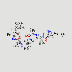 CCC[C@H](NC(=O)[C@@H](NC(=O)[C@@H](N)CCC(=O)O)[C@@H](C)CC)C(=O)N[C@H](CN[C@H](C(=O)N[C@H](C(=O)N[C@@H](C)C(=O)O)C(C)C)C(C)C)CC(C)C